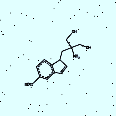 CCCCCCCCc1ccc2c(c1)C=CC2CC(N)(CO)CO